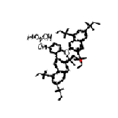 CCC(C)(C)c1cc(C(C)(C)CC)c2cc(Oc3ccc(C)cc3-c3cc4c(C(C)(C)CC)cc(C(C)(C)CC)cc4cc3C(C)(C)CC)c(C(C)(C)CC)cc2c1.OP(O)O